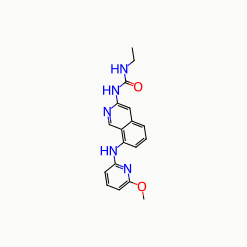 CCNC(=O)Nc1cc2cccc(Nc3cccc(OC)n3)c2cn1